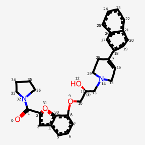 O=C(c1cc2cccc(OC[C@@H](O)CN3CC=C(c4ccc5ccccc5c4)CC3)c2o1)N1CCCC1